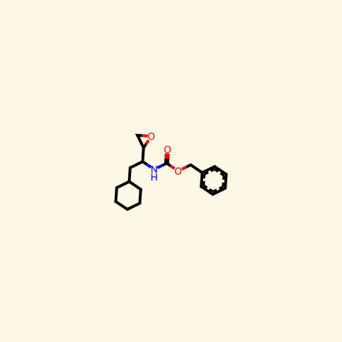 O=C(NC(CC1CCCCC1)C1CO1)OCc1ccccc1